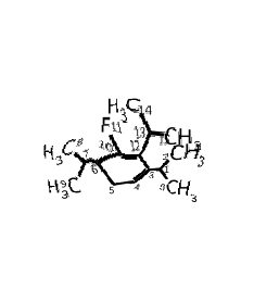 CC(C)C1=CCC(C(C)C)C(F)=C1C(C)C